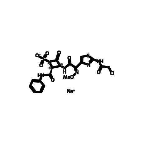 CON=C(C(=O)N[C@@H]1C(=O)N(S(=O)(=O)[O-])[C@@H]1C(=O)Nc1ccccc1)c1csc(NC(=O)CCl)n1.[Na+]